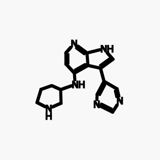 c1ncc(-c2c[nH]c3nccc(NC4CCCNC4)c23)cn1